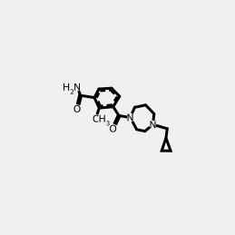 Cc1c(C(N)=O)cccc1C(=O)N1CCCN(CC2CC2)CC1